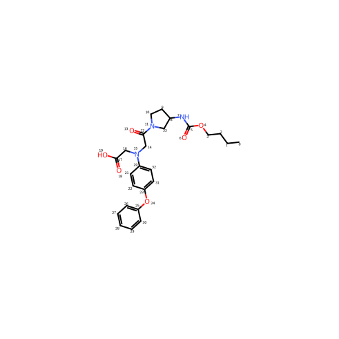 CCCCOC(=O)NC1CCN(C(=O)CN(CC(=O)O)c2ccc(Oc3ccccc3)cc2)C1